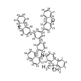 CC1(C)c2ccccc2-c2ccc(N(c3ccc(-c4cc(-c5ccc6oc7ccccc7c6c5)cc(-c5ccc6sc7ccccc7c6c5)c4)cc3)c3cccc4ccccc34)cc21